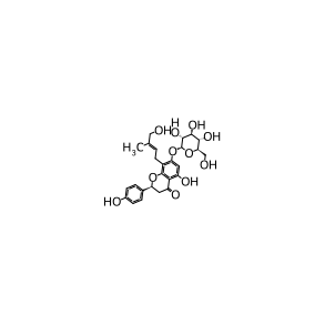 C/C(=C\Cc1c(O[C@@H]2O[C@H](CO)[C@@H](O)[C@H](O)[C@H]2O)cc(O)c2c1O[C@H](c1ccc(O)cc1)CC2=O)CO